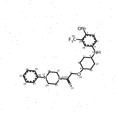 O=Nc1ccc(NC2CCC(OCC(=S)N3CCN(c4ccccc4)CC3)CC2)cc1C(F)(F)F